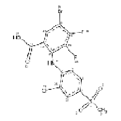 CS(=O)(=O)c1ccc(Nc2c(C(=O)O)cc(Br)c(F)c2F)c(Cl)c1